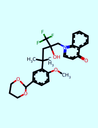 COc1ccc(C2OCCCO2)cc1C(C)(C)CC(O)(Cn1ccc(=O)c2ccccc21)C(F)(F)F